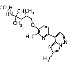 Cc1cn2nccc(-c3ccc(OC[C@@H](C)CC(C)(C)NC(=O)O)c(C)n3)c2n1